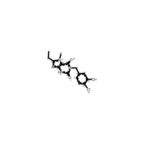 CCc1nc2[nH]c(=O)n(Cc3ccc(Cl)c(Cl)c3)c(=O)c2n1C